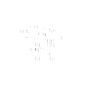 NCCC(O)CNC[C@H]1O[C@H](O[C@H]2[C@H](O)[C@@H](O[C@H]3O[C@H](CO)[C@@H](O)[C@H](N)[C@H]3O)[C@H](NC(=O)N(O)CCN)C[C@@H]2N)[C@H](N)C[C@@H]1O